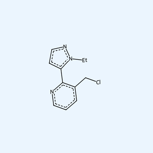 CCn1nccc1-c1ncccc1CCl